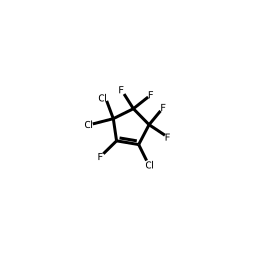 FC1=C(Cl)C(F)(F)C(F)(F)C1(Cl)Cl